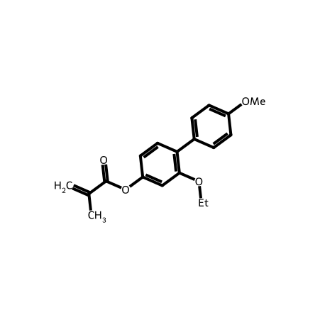 C=C(C)C(=O)Oc1ccc(-c2ccc(OC)cc2)c(OCC)c1